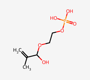 C=C(C)C(O)OCCOP(=O)(O)O